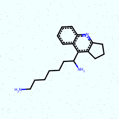 NCCCCCCC(N)c1c2c(nc3ccccc13)CCC2